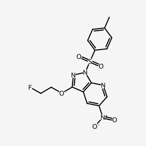 Cc1ccc(S(=O)(=O)n2nc(OCCF)c3cc([N+](=O)[O-])cnc32)cc1